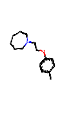 Cc1ccc(OCCN2CCCCCC2)cc1